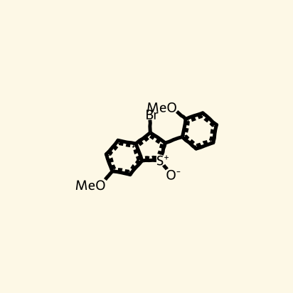 COc1ccc2c(Br)c(-c3ccccc3OC)[s+]([O-])c2c1